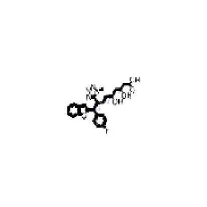 Cn1nnnc1C(/C=C/[C@@H](O)C[C@@H](O)CC(=O)O)=C(/c1ccc(F)cc1)c1cc2ccccc2o1